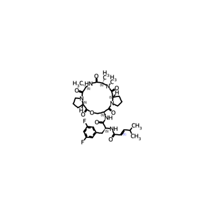 CC(C)/C=C/C(=O)N[C@@H](Cc1cc(F)cc(F)c1)C(=O)N[C@H]1COC(=O)[C@@H]2CCCN2C(=O)[C@H](C)NC(=O)[C@H](C)N(C)C(=O)[C@@H]2CCCN2C1=O